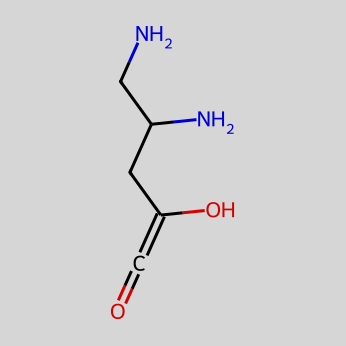 NCC(N)CC(O)=C=O